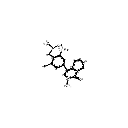 COc1cc(-c2cn(C)c(=O)c3cnccc23)cc(F)c1CN(C)C